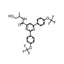 CC(CO)NC(=O)c1cc(-c2ccc(OC(F)(F)F)cc2)nc(-c2ccc(OC(F)(F)F)cc2)n1